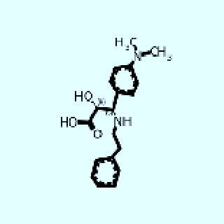 CN(C)c1ccc([C@H](NCCc2ccccc2)[C@@H](O)C(=O)O)cc1